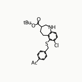 CC(=O)c1ccc(CSc2c(Cl)ccc3c2CCC(C(=O)OC(C)(C)C)CN3)cc1